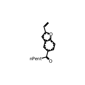 C=Cc1cc2cc(C(=O)CCCCC)ccc2o1